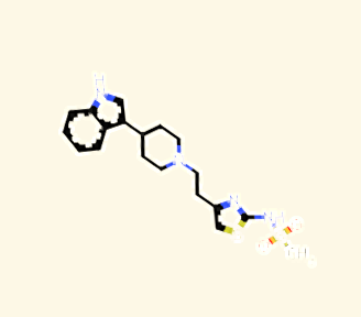 CS(=O)(=O)Nc1nc(CCN2CCC(c3c[nH]c4ccccc34)CC2)cs1